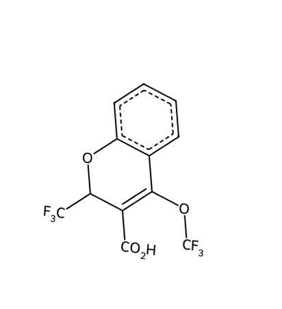 O=C(O)C1=C(OC(F)(F)F)c2ccccc2OC1C(F)(F)F